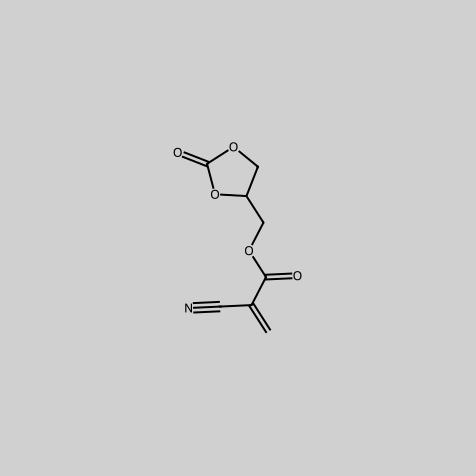 C=C(C#N)C(=O)OCC1COC(=O)O1